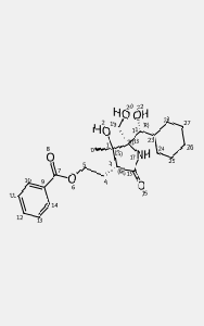 C[C@]1(O)[C@@H](CCOC(=O)c2ccccc2)C(=O)N[C@]1(CO)[C@H](O)C1CCCCC1